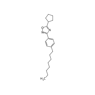 CCCCCCCCc1ccc(-c2noc(C3CCCC3)n2)cc1